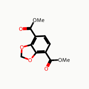 COC(=O)c1ccc(C(=O)OC)c2c1OCO2